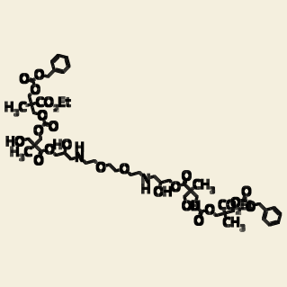 CCOC(=O)C(C)(COC(=O)OCc1ccccc1)COC(=O)OCC(C)(CO)C(=O)OCC(O)CNCCOCCOCCNCC(O)COC(=O)C(C)(CO)COC(=O)OCC(C)(COC(=O)OCc1ccccc1)C(=O)OCC